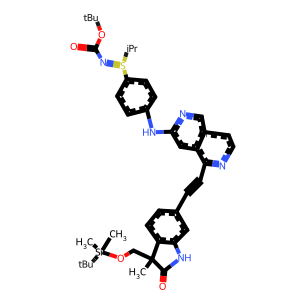 CC(C)S(=NC(=O)OC(C)(C)C)c1ccc(Nc2cc3c(C#Cc4ccc5c(c4)NC(=O)C5(C)CO[Si](C)(C)C(C)(C)C)nccc3cn2)cc1